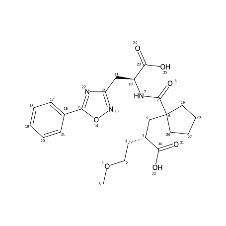 COCC[C@H](CC1(C(=O)N[C@@H](Cc2noc(-c3ccccc3)n2)C(=O)O)CCCC1)C(=O)O